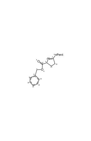 CCCCCC1=NC(C(=O)OCc2ccccc2)CC1